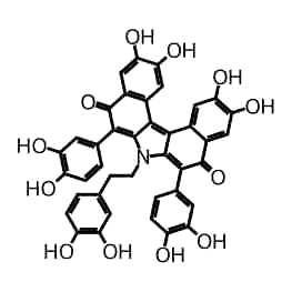 O=C1C(c2ccc(O)c(O)c2)=c2c(c3c(n2CCc2ccc(O)c(O)c2)=C(c2ccc(O)c(O)c2)C(=O)c2cc(O)c(O)cc2-3)-c2cc(O)c(O)cc21